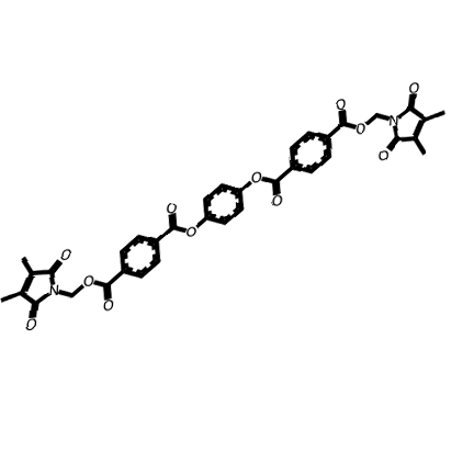 CC1=C(C)C(=O)N(COC(=O)c2ccc(C(=O)Oc3ccc(OC(=O)c4ccc(C(=O)OCN5C(=O)C(C)=C(C)C5=O)cc4)cc3)cc2)C1=O